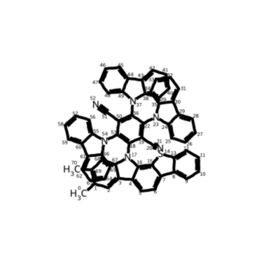 Cc1cc2c3ccc4c5ccccc5sc4c3n(-c3c(C#N)c(-n4c5ccccc5c5ccccc54)c(-n4c5ccccc5c5ccccc54)c(C#N)c3-n3c4ccccc4c4ccccc43)c2cc1C